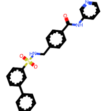 O=C(Nc1cccnc1)c1ccc(CNS(=O)(=O)c2cccc(-c3ccccc3)c2)cc1